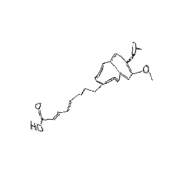 COc1cc2ccc(CCC/C=C/C=CC(=O)O)cc2cc1OC